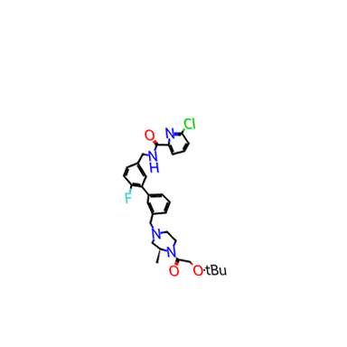 C[C@H]1CN(Cc2cccc(-c3cc(CNC(=O)c4cccc(Cl)n4)ccc3F)c2)CCN1C(=O)COC(C)(C)C